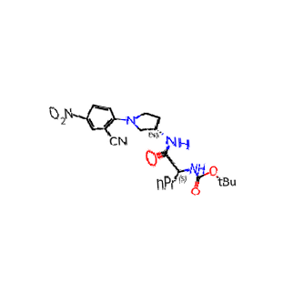 CCC[C@H](NC(=O)OC(C)(C)C)C(=O)N[C@H]1CCN(c2ccc([N+](=O)[O-])cc2C#N)C1